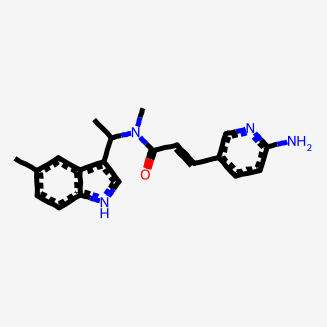 Cc1ccc2[nH]cc(C(C)N(C)C(=O)C=Cc3ccc(N)nc3)c2c1